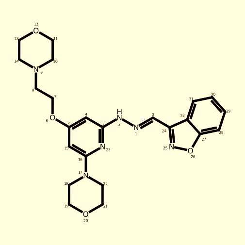 C(=N\Nc1cc(OCCN2CCOCC2)cc(N2CCOCC2)n1)/c1noc2ccccc12